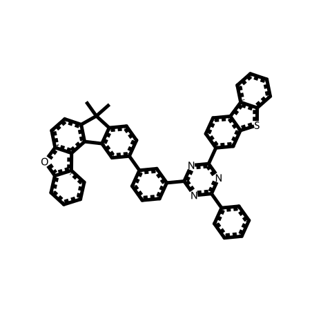 CC1(C)c2ccc(-c3cccc(-c4nc(-c5ccccc5)nc(-c5ccc6c(c5)sc5ccccc56)n4)c3)cc2-c2c1ccc1oc3ccccc3c21